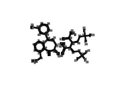 CCc1cccc2c1NC(=O)[C@@H](NC(=O)[C@H](CCC(F)(F)F)[C@H](CCC(F)(F)F)C(N)=O)N=C2c1cccc(Cl)c1